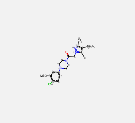 COc1cc(N2CCN(C(=O)Cn3nc(C(F)(F)F)c(NC(C)=O)c3C)CC2)ccc1Cl